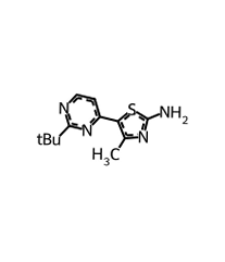 Cc1nc(N)sc1-c1ccnc(C(C)(C)C)n1